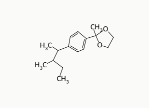 CCC(C)C(C)c1ccc(C2(C)OCCO2)cc1